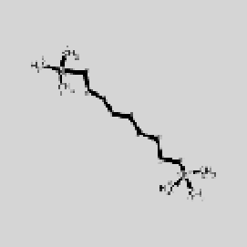 C[N+](C)(C)CCCCCCCCC[N+](C)(C)C